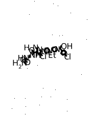 CC[C@H]1CN(c2nc(N)c(C(=O)NCCNS(N)(=O)=O)nc2Cl)CCN1C1CCN(C(CO)c2ccc(Cl)cc2)CC1